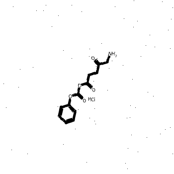 Cl.NCC(=O)CCC(=O)OC(=O)Oc1ccccc1